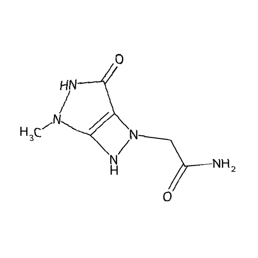 Cn1[nH]c(=O)c2c1[nH]n2CC(N)=O